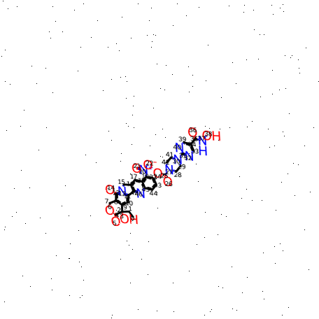 CC[C@@]1(O)C(=O)OCc2c1cc1n(c2=O)Cc2cc3c([N+](=O)[O-])c(OC(=O)N4CCN(c5ncc(C(=O)NO)cn5)CC4)ccc3nc2-1